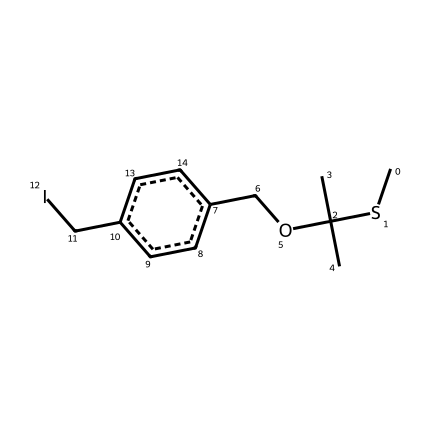 CSC(C)(C)OCc1ccc(CI)cc1